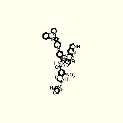 CC(C)c1ccccc1[C@@H]1CCCN1C1CC2(CCN(c3ccc(C(=O)NS(=O)(=O)c4cc5c(c([N+](=O)[O-])c4)N[C@H](CN4C[C@H]6C[C@@H]4CO6)CO5)c(N4c5cc6cc[nH]c6nc5O[C@H]5COC[C@@H]54)c3)CC2)C1